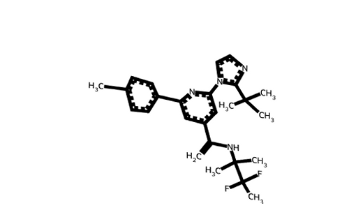 C=C(NC(C)(C)C(C)(F)F)c1cc(-c2ccc(C)cc2)nc(-n2ccnc2C(C)(C)C)c1